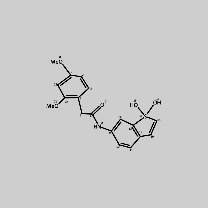 COc1ccc(CC(=O)Nc2ccc3c(c2)S(O)(O)C=C3)c(OC)c1